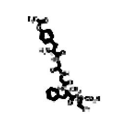 CC(C)C[C@H](NC(=O)[C@@](C)(Cc1ccccc1)NC(=O)CNC(=O)CNC(=O)[C@@H](N)Cc1ccc(OC(=O)C(F)(F)F)cc1)C(=O)O